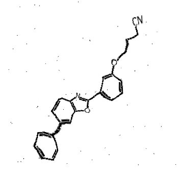 N#CCCCOc1cccc(-c2nc3ccc(-c4ccccc4)cc3o2)c1